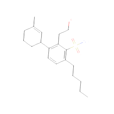 CCCCCc1ccc(C2C=C(C)CCC2)c(CCO)c1S(N)(=O)=O